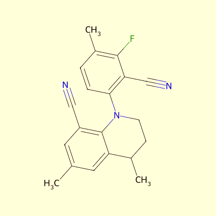 Cc1cc(C#N)c2c(c1)C(C)CCN2c1ccc(C)c(F)c1C#N